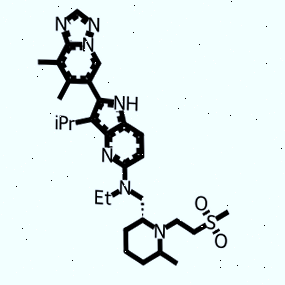 CCN(C[C@H]1CCCC(C)N1CCS(C)(=O)=O)c1ccc2[nH]c(-c3cn4ncnc4c(C)c3C)c(C(C)C)c2n1